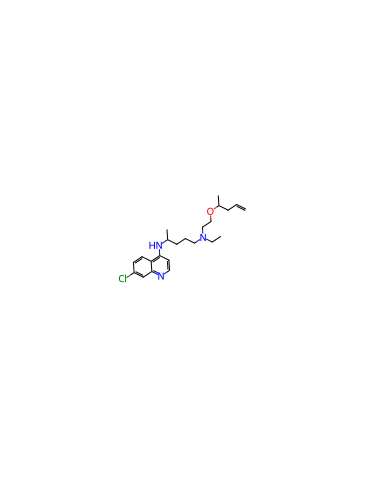 C=CCC(C)OCCN(CC)CCCC(C)Nc1ccnc2cc(Cl)ccc12